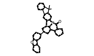 CC1(C)c2ccccc2-c2cc3c4cc(-c5ccc6oc7ccccc7c6c5)cc5c6ccccc6c(=O)n(c3cc21)c54